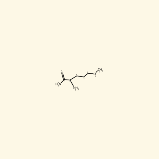 COCCCC(N)C(N)=O